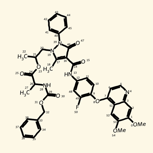 COc1cc2nccc(Oc3ccc(NC(=O)c4c(C)n(CC(C)OC(=O)C(C)NC(=O)OCc5ccccc5)n(-c5ccccc5)c4=O)cc3F)c2cc1OC